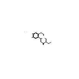 COc1cc2c(cc1F)C1CC(=O)C(CC(C)C)CN1CC2